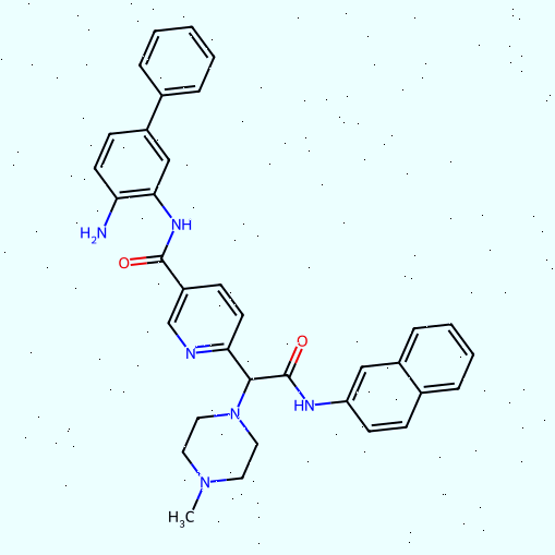 CN1CCN(C(C(=O)Nc2ccc3ccccc3c2)c2ccc(C(=O)Nc3cc(-c4ccccc4)ccc3N)cn2)CC1